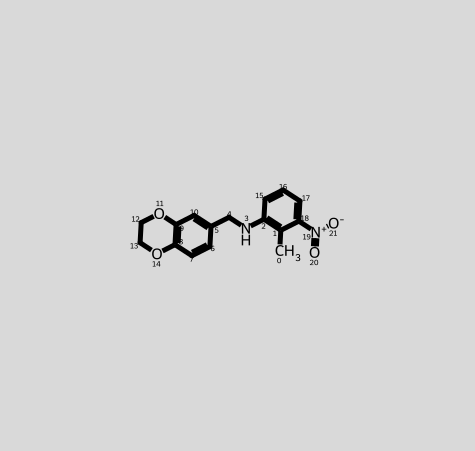 Cc1c(NCc2ccc3c(c2)OCCO3)cccc1[N+](=O)[O-]